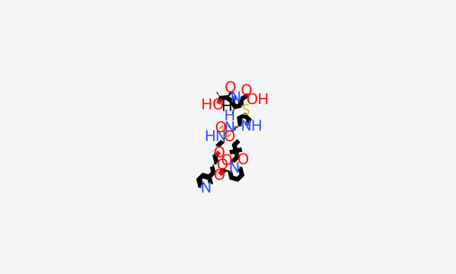 CCC(C)(C)C(=O)C(=O)N1CCCC[C@H]1C(=O)O[C@H](CCc1cccnc1)COCCNS(=O)(=O)NC[C@@H]1C[C@H](SC2=C(C(=O)O)N3C(=O)[C@H]([C@@H](C)O)[C@H]3[C@H]2C)CN1